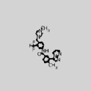 Cc1ccc(C(=O)Nc2ccc(CN3CCN(C)CC3)c(C(F)(F)F)c2)cc1-c1cnc2ncccn12